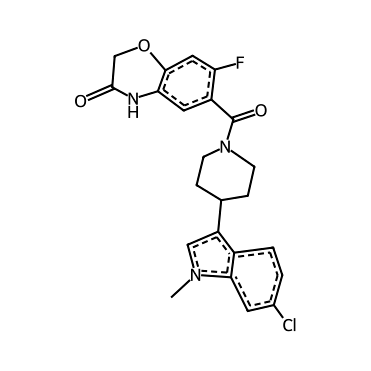 Cn1cc(C2CCN(C(=O)c3cc4c(cc3F)OCC(=O)N4)CC2)c2ccc(Cl)cc21